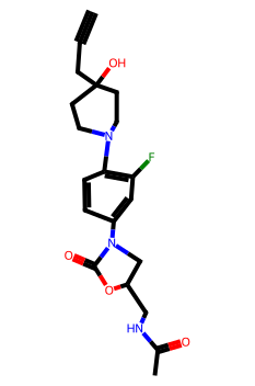 C#CCC1(O)CCN(c2ccc(N3CC(CNC(C)=O)OC3=O)cc2F)CC1